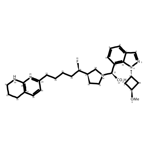 CO[C@H]1C[C@H](n2ncc3cccc([C@@H](C(=O)O)N4CC[C@@H]([C@H](F)CCCCc5ccc6c(n5)NCCC6)C4)c32)C1